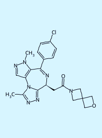 Cc1nnc2n1-c1cnn(C)c1C(c1ccc(Cl)cc1)=N[C@H]2CC(=O)N1CC2(COC2)C1